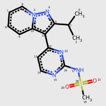 CC(C)c1nn2ccccc2c1-c1ccnc(NS(C)(=O)=O)n1